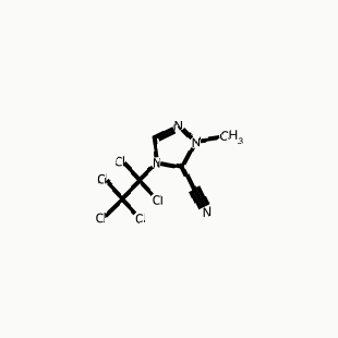 CN1N=CN(C(Cl)(Cl)C(Cl)(Cl)Cl)C1C#N